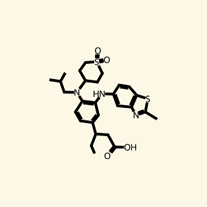 CCC(CC(=O)O)c1ccc(N(CC(C)C)C2CCS(=O)(=O)CC2)c(Nc2ccc3sc(C)nc3c2)c1